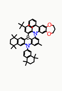 Cc1cc2c3c(c1)N(c1cc4c(cc1-c1ccccc1)OCCCO4)c1ccc(C(C)(C)C)cc1B3c1cc3c(cc1N2c1ccc2c(c1)C(C)(C)CCC2(C)C)C(C)(C)CCC3(C)C